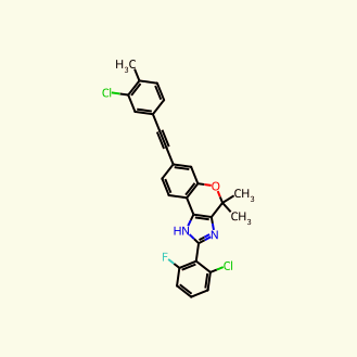 Cc1ccc(C#Cc2ccc3c(c2)OC(C)(C)c2nc(-c4c(F)cccc4Cl)[nH]c2-3)cc1Cl